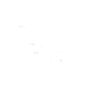 CSc1cccc(NC(=O)Nc2ccc3c(c2)C2CCCN2CC3)c1